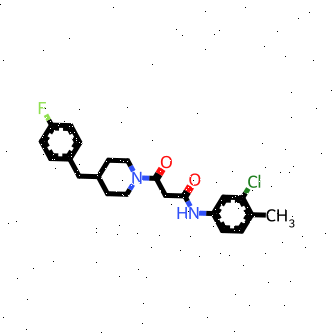 Cc1ccc(NC(=O)CC(=O)N2CCC(Cc3ccc(F)cc3)CC2)cc1Cl